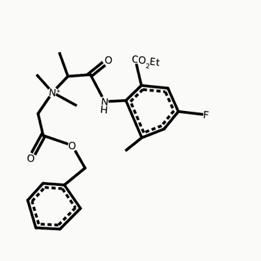 CCOC(=O)c1cc(F)cc(C)c1NC(=O)C(C)[N+](C)(C)CC(=O)OCc1ccccc1